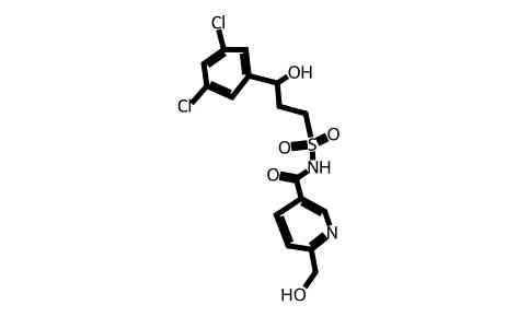 O=C(NS(=O)(=O)CCC(O)c1cc(Cl)cc(Cl)c1)c1ccc(CO)nc1